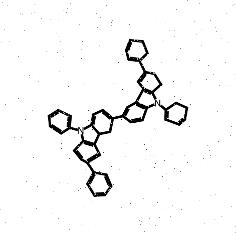 C1=CCCC(C2=Cc3c(n(C4=CC=CCC4)c4ccc(C5=CC=C6C(C5)c5cc(-c7ccccc7)ccc5N6c5ccccc5)cc34)CC2)=C1